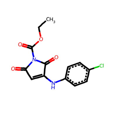 CCOC(=O)N1C(=O)C=C(Nc2ccc(Cl)cc2)C1=O